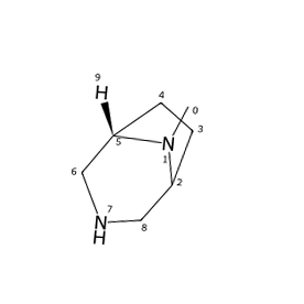 CN1C2CC[C@H]1CNC2